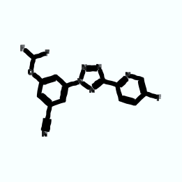 N#Cc1cc(OC(F)F)cc(-n2nnc(-c3ccc(F)cn3)n2)c1